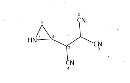 N#CC(C#N)C(C#N)C1CN1